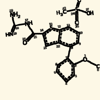 COc1ccccc1-c1cccc2sc(C(=O)NC(=N)N)cc12.CS(=O)(=O)O